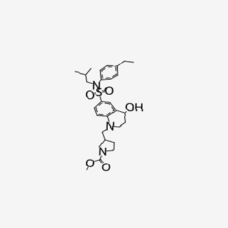 CCc1ccc(N(CC(C)C)S(=O)(=O)c2ccc3c(c2)C(O)CCN3CC2CCN(C(=O)OC)C2)cc1